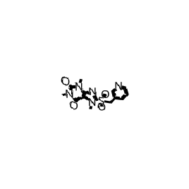 Cn1c(=O)c2c(nc(S(=O)(=O)Cc3cccnc3)n2C)n(C)c1=O